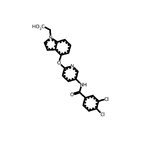 O=C(O)Cn1ccc2c(Oc3ccc(NC(=O)c4ccc(Cl)c(Cl)c4)cn3)cccc21